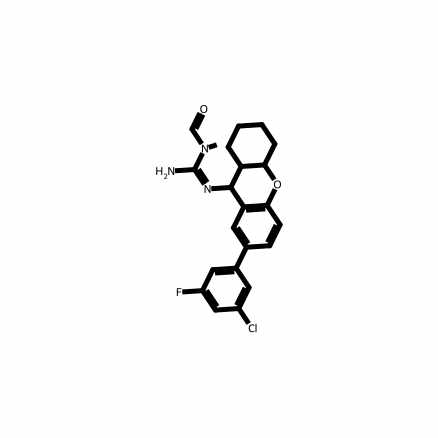 CN(C=O)/C(N)=N\C1c2cc(-c3cc(F)cc(Cl)c3)ccc2OC2CCCCC21